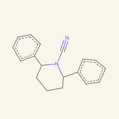 N#CN1C(c2ccccc2)CCCC1c1ccccc1